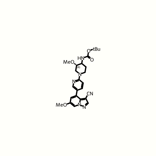 COc1cc(-c2ccc(N3CCC(NC(=O)OC(C)(C)C)[C@H](OC)C3)nc2)c2c(C#N)cnn2c1